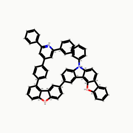 c1ccc(-c2cc(-c3ccc(-c4cccc5oc6ccc(-c7ccc8c(c7)c7c9oc%10ccccc%10c9ccc7n8-c7ccccc7)cc6c45)cc3)cc(-c3ccccc3)n2)cc1